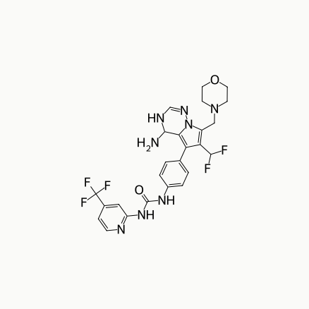 NC1NC=Nn2c(CN3CCOCC3)c(C(F)F)c(-c3ccc(NC(=O)Nc4cc(C(F)(F)F)ccn4)cc3)c21